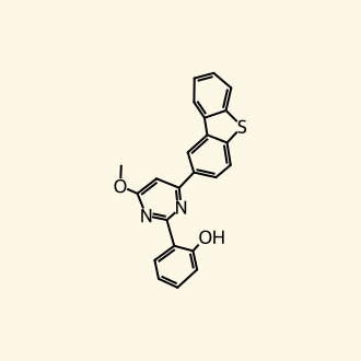 COc1cc(-c2ccc3sc4ccccc4c3c2)nc(-c2ccccc2O)n1